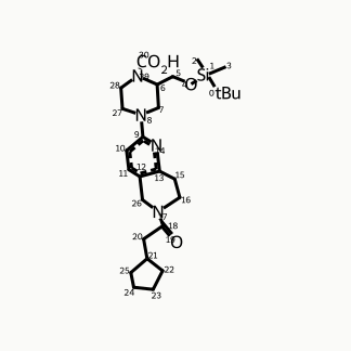 CC(C)(C)[Si](C)(C)OCC1CN(c2ccc3c(n2)CCN(C(=O)CC2CCCC2)C3)CCN1C(=O)O